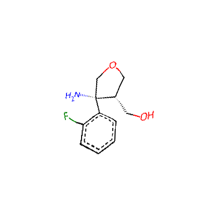 N[C@]1(c2ccccc2F)COC[C@@H]1CO